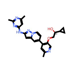 Cc1cc(-c2ccn3nc(Nc4cc(C)nc(C)n4)cc3c2)c(OC[C@@H](O)C2CC2)cn1